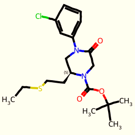 CCSCC[C@H]1CN(c2cccc(Cl)c2)C(=O)CN1C(=O)OC(C)(C)C